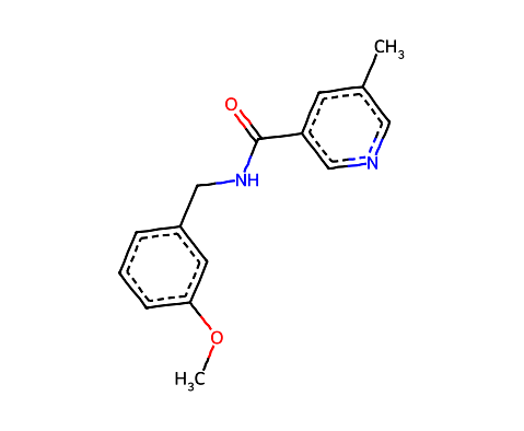 COc1cccc(CNC(=O)c2cncc(C)c2)c1